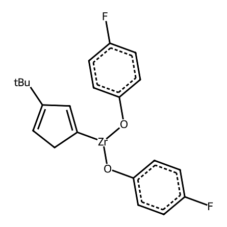 CC(C)(C)C1=CC[C]([Zr]([O]c2ccc(F)cc2)[O]c2ccc(F)cc2)=C1